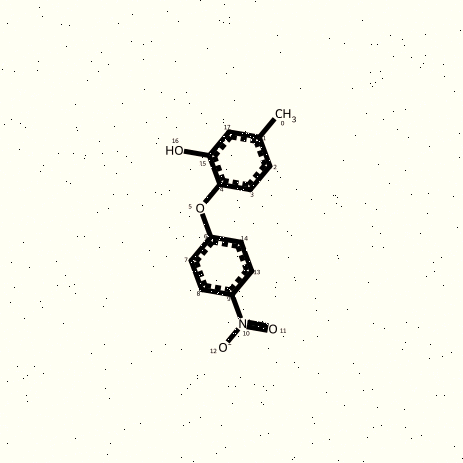 Cc1ccc(Oc2ccc([N+](=O)[O-])cc2)c(O)c1